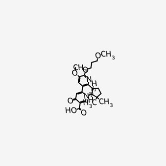 COCCCOc1nc2c(cc1OC)-c1cc(=O)c(C(=O)O)cn1[C@H]1[C@H]2CCC1(C)C